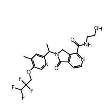 Cc1cc(C(C)N2Cc3c(ccnc3C(=O)NCCO)C2=O)ncc1OCC(F)(F)C(F)F